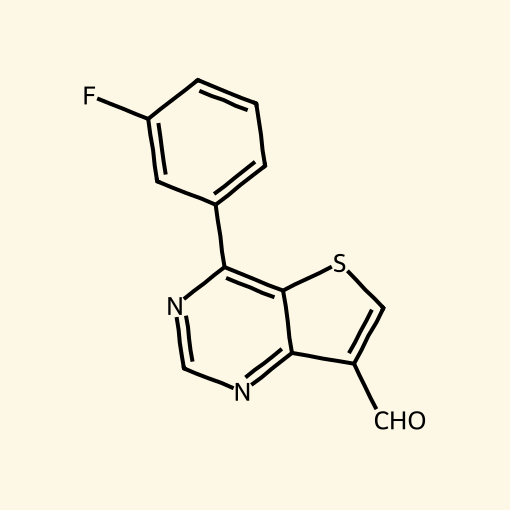 O=Cc1csc2c(-c3cccc(F)c3)ncnc12